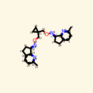 Cc1ccc2c(n1)/C(=N/OCC1(CO/N=C3\CCc4ccc(C)nc43)CC1)CC2